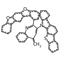 C=C1C=C(n2c3ccccc3c3ccc4c5ccccc5sc4c32)C(c2cccc3oc4cc5oc6ccccc6c5cc4c23)=Nc2ccccc21